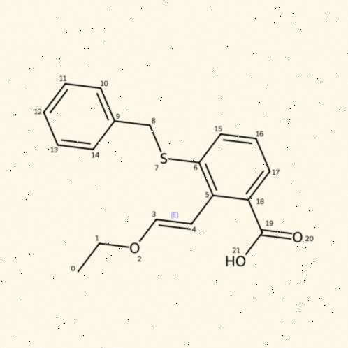 CCO/C=C/c1c(SCc2ccccc2)cccc1C(=O)O